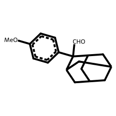 COc1ccc(C2(C=O)C3CC4CC(C3)CC2C4)cc1